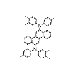 CC1=C(C)CCC(N(c2ccc(C)c(C)c2)c2cc3c4ccccc4c(N(c4ccc(C)c(C)c4)c4ccc(C)c(C)c4)cc3c3ccccc23)=C1